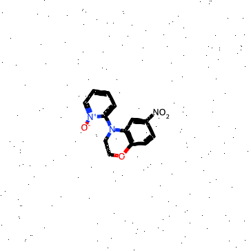 O=[N+]([O-])c1ccc2c(c1)N(c1cccc[n+]1[O-])CCO2